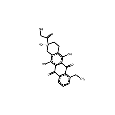 COc1cccc2c1C(=O)c1c(O)c3c(c(O)c1C2=O)C[C@@](O)(C(=O)CO)CC3